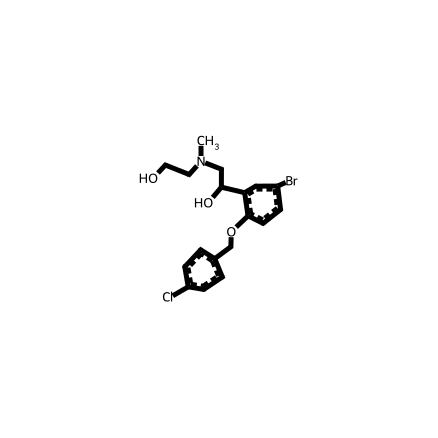 CN(CCO)CC(O)c1cc(Br)ccc1OCc1ccc(Cl)cc1